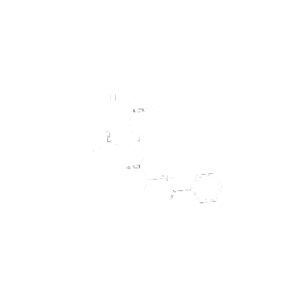 CC(=O)O[Si](C)(OC(C)=O)OC(=O)C(F)NC(=O)c1ccccc1